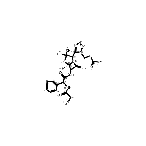 CC(C)C(=O)OCn1nnnc1C1N2C(=O)C(NC(=O)C(NC(=O)CN)c3ccccc3)[C@H]2SC1(C)C